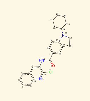 O=C(Nc1cc2ccccc2nc1Cl)c1ccc2c(c1)CCN2C1CCCCC1